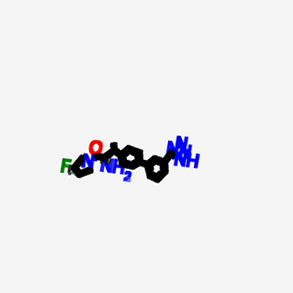 CC(c1ccc(-c2cccc(-c3nnn[nH]3)c2)cc1)[C@H](N)C(=O)N1CC[C@H](F)C1